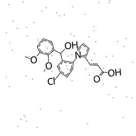 COc1cccc(C(O)c2cc(Cl)ccc2-n2cccc2/C=C/C(=O)O)c1OC